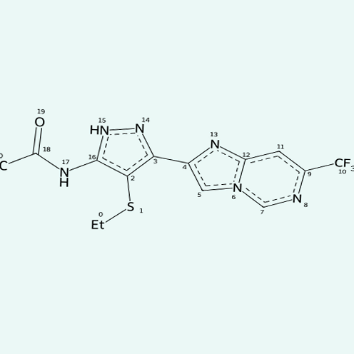 CCSc1c(-c2cn3cnc(C(F)(F)F)cc3n2)n[nH]c1NC(=O)C(F)(F)F